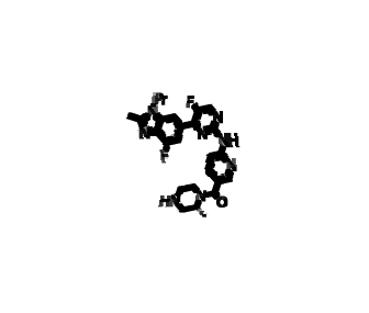 Cc1nc2c(F)cc(-c3nc(Nc4ccc(C(=O)N5CCNC[C@H]5C)cn4)ncc3F)cc2n1C(C)C